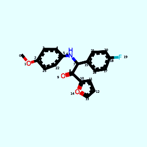 COc1ccc(NC(C(=O)c2ccco2)c2ccc(F)cc2)cc1